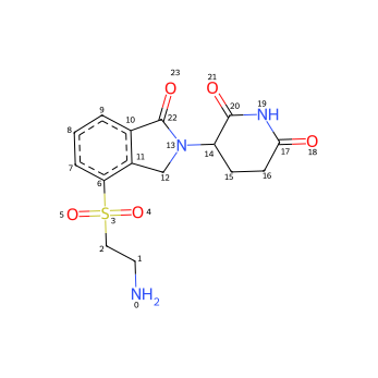 NCCS(=O)(=O)c1cccc2c1CN(C1CCC(=O)NC1=O)C2=O